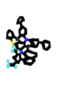 FC(F)(F)c1cc(-c2ccccc2)c(N2c3ccccc3B3c4cc(-c5ccccc5)ccc4N4c5ccc(-c6ccccc6)cc5B5c6ccccc6Sc6cc2c3c4c65)c(C(F)(F)F)c1